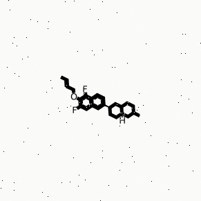 C/C=C/COc1c(F)cc2cc([C@@H]3CC[C@@H]4CC(C)CCC4C3)ccc2c1F